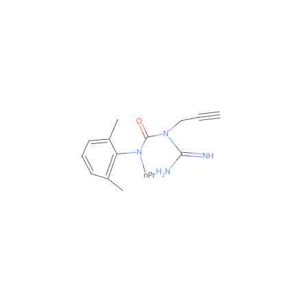 C#CCN(C(=N)N)C(=O)N(CCC)c1c(C)cccc1C